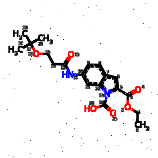 CCOC(=O)c1cc2ccc(NC(=O)CCOC(C)(C)C)cc2n1C(=O)O